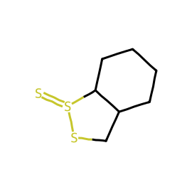 S=S1SCC2CCCCC21